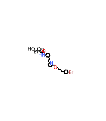 CCC(CC)(CC(=O)Nc1cccc(C=Cc2cccc(COCCCCc3ccc(Br)cc3)n2)c1)C(=O)O